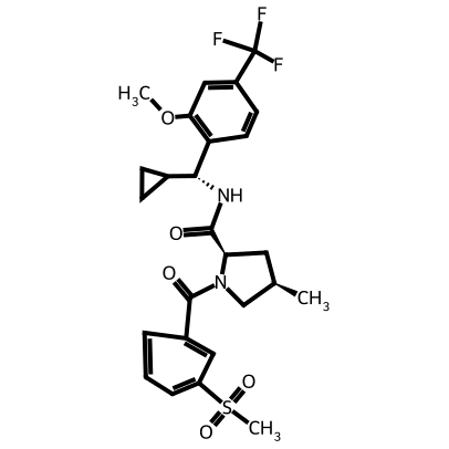 COc1cc(C(F)(F)F)ccc1[C@H](NC(=O)[C@H]1C[C@@H](C)CN1C(=O)c1cccc(S(C)(=O)=O)c1)C1CC1